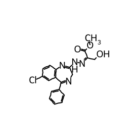 COC(=O)C(CO)=NNC1=Nc2ccc(Cl)cc2C(c2ccccc2)=NC1